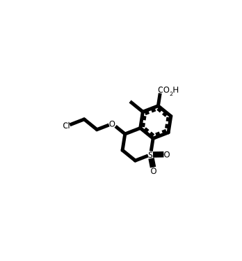 Cc1c(C(=O)O)ccc2c1C(OCCCl)CCS2(=O)=O